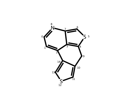 c1cc2c3c(scc3n1)Cc1cscc1-2